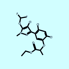 CCOC(=O)C(C)Oc1cc(-c2nn(C)c(OC(F)F)c2Cl)c(Cl)cc1Cl